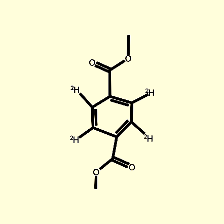 [2H]c1c([2H])c(C(=O)OC)c([2H])c([2H])c1C(=O)OC